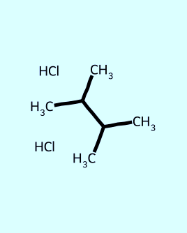 CC(C)C(C)C.Cl.Cl